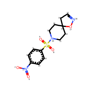 O=[N+]([O-])c1ccc(S(=O)(=O)N2CCC3(CC=NO3)CC2)cc1